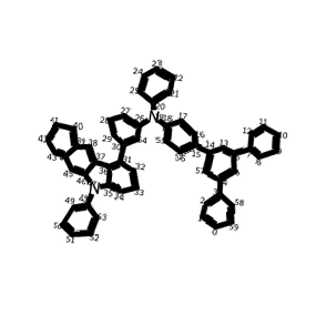 c1ccc(-c2cc(-c3ccccc3)cc(-c3ccc(N(c4ccccc4)c4cccc(-c5cccc6c5c5cc7ccccc7cc5n6-c5ccccc5)c4)cc3)c2)cc1